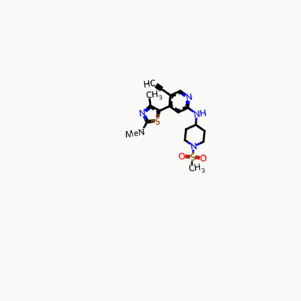 C#Cc1cnc(NC2CCN(S(C)(=O)=O)CC2)cc1-c1sc(NC)nc1C